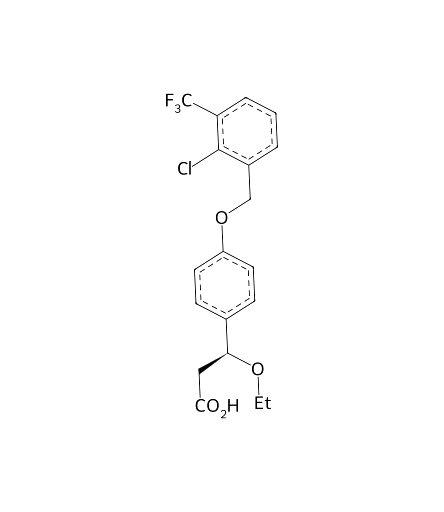 CCO[C@@H](CC(=O)O)c1ccc(OCc2cccc(C(F)(F)F)c2Cl)cc1